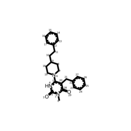 Cn1c(=O)[nH]c(N2CCC(CCc3ccccc3)CC2)c(Cc2ccccc2)c1=O